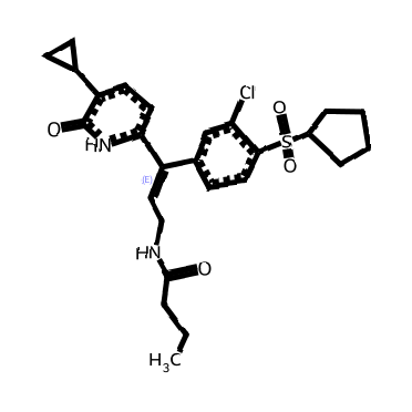 CCCC(=O)NC/C=C(\c1ccc(S(=O)(=O)C2CCCC2)c(Cl)c1)c1ccc(C2CC2)c(=O)[nH]1